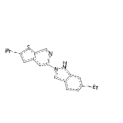 CCc1ccc2c[n+](-c3cc4cc(C(C)C)sc4cn3)[nH]c2c1